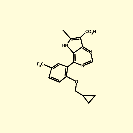 Cc1[nH]c2c(-c3cc(C(F)(F)F)ccc3OCC3CC3)ncnc2c1C(=O)O